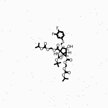 CC(C)OC(=O)OCOC(=O)[C@H]1[C@@H]2[C@H](O)[C@@H](CSc3ccc(F)c(F)c3)[C@@](NC(=O)OC(C)(C)C)(C(=O)OCOC(=O)OC(C)C)[C@H]12